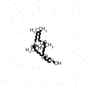 CCCCCCCCCOC(=O)C(C)(C)CCCCCC(CCCCCC(C)(C)C(=O)OCCCCCCCCC)OC(=O)CC1CCN(CCO)CC1